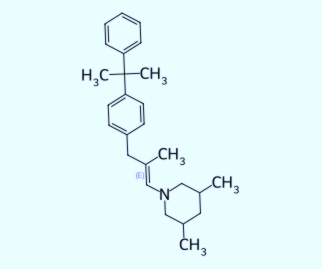 C/C(=C\N1CC(C)CC(C)C1)Cc1ccc(C(C)(C)c2ccccc2)cc1